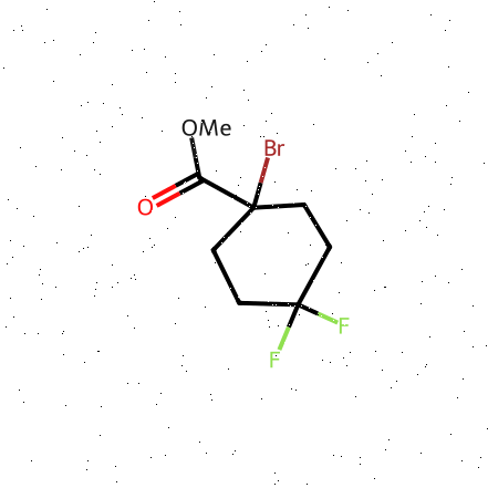 COC(=O)C1(Br)CCC(F)(F)CC1